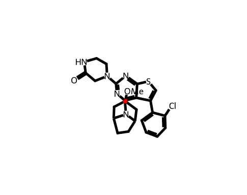 COC1CC2CCC(C1)N2c1nc(N2CCNC(=O)C2)nc2scc(-c3ccccc3Cl)c12